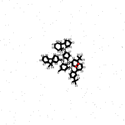 Cc1cc2c3c(c1)N(c1ccc(C(C)(C)C)cc1-c1ccccc1)c1ccc(C(C)(C)C)cc1B3c1ccc(N3c4ccccc4C4(C)CCCCC34C)cc1N2c1ccc2c(c1)C(C)(C)c1ccccc1-2